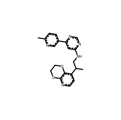 Cc1ccc(-c2cc(NCC(C)c3ccnc4c3OCCO4)ncn2)cn1